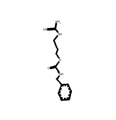 N=C(N)NCCCOC(=O)NCc1ccccc1